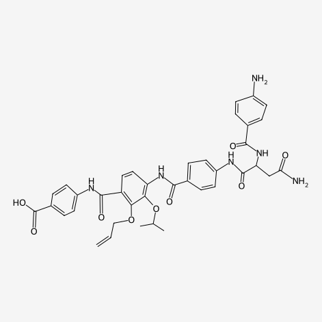 C=CCOc1c(C(=O)Nc2ccc(C(=O)O)cc2)ccc(NC(=O)c2ccc(NC(=O)C(CC(N)=O)NC(=O)c3ccc(N)cc3)cc2)c1OC(C)C